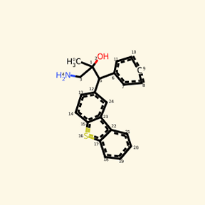 CC(O)(CN)C(c1ccccc1)c1ccc2sc3ccccc3c2c1